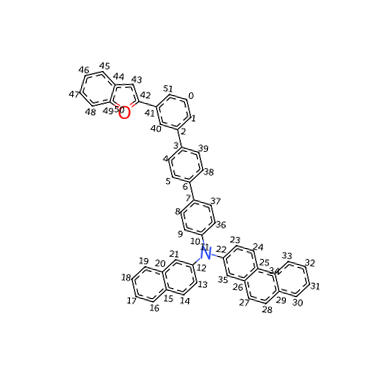 c1cc(-c2ccc(-c3ccc(N(c4ccc5ccccc5c4)c4ccc5c(ccc6ccccc65)c4)cc3)cc2)cc(-c2cc3ccccc3o2)c1